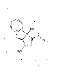 NNC(=O)C(O)(C(=O)NN)c1ccccc1